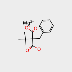 CC(C)(C)C(Cc1ccccc1)(C(=O)[O-])C(=O)[O-].[Mg+2]